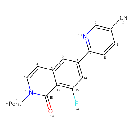 CCCCCn1ccc2cc(-c3ccc(C#N)cn3)cc(F)c2c1=O